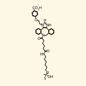 CP(O)(=S)OCCCCCCNC(=O)CCCCC(=O)N1Cc2ccccc2C2=C(c3ccccc31)N(CCOc1ccc(C(=O)O)cc1)NN2